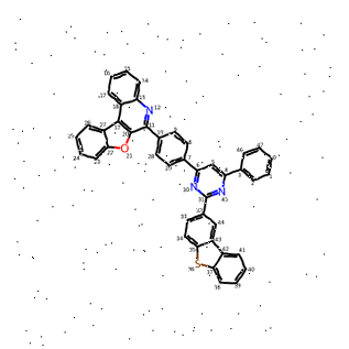 c1ccc(-c2cc(-c3ccc(-c4nc5ccccc5c5c4oc4ccccc45)cc3)nc(-c3ccc4sc5ccccc5c4c3)n2)cc1